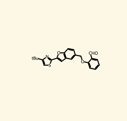 CC(C)(C)c1csc(-c2cc3cc(COc4ccccc4C=O)ccc3o2)n1